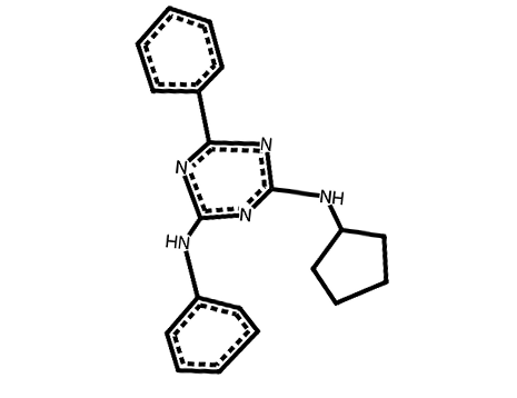 c1ccc(Nc2nc(NC3CCCC3)nc(-c3ccccc3)n2)cc1